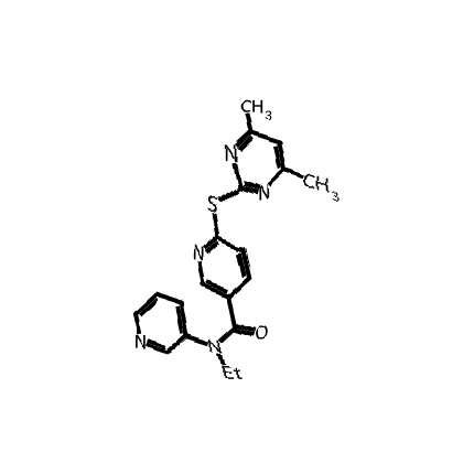 CCN(C(=O)c1ccc(Sc2nc(C)cc(C)n2)nc1)c1cccnc1